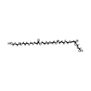 O=C(CCSCSCCCOOCSCO)OCCSCSCCOOCCCSCSCCC(=O)OCSCO